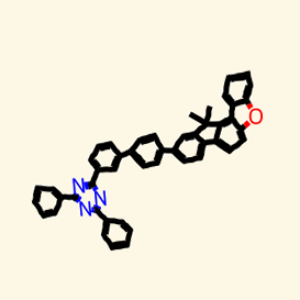 CC1(C)c2cc(-c3ccc(-c4cccc(-c5nc(-c6ccccc6)nc(-c6ccccc6)n5)c4)cc3)ccc2-c2ccc3oc4ccccc4c3c21